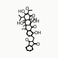 CC(=O)C1=C(O)C(C(C)C)[C@@]2(C)[C@H](O)[C@]3(C)C(=C(O)[C@@]2(O)C1=O)C(=O)c1c(ccc(CC2C(=O)c4ccccc4C2=O)c1O)[C@H]3C